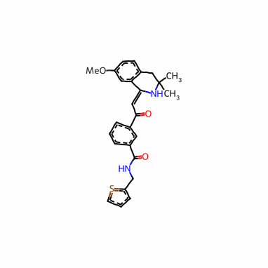 COc1ccc2c(c1)/C(=C/C(=O)c1cccc(C(=O)NCc3cccs3)c1)NC(C)(C)C2